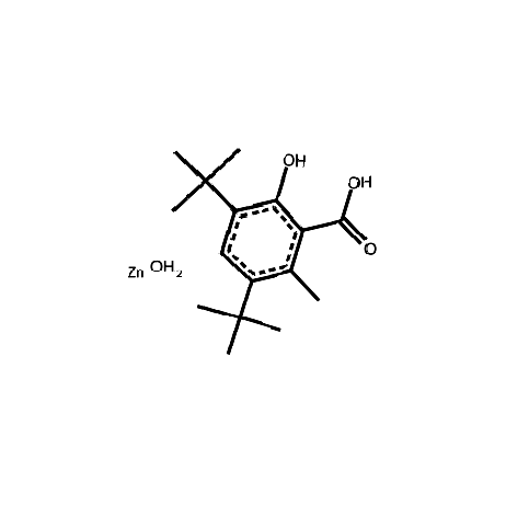 Cc1c(C(C)(C)C)cc(C(C)(C)C)c(O)c1C(=O)O.O.[Zn]